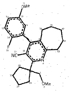 COCC1(c2nc3c(c(-c4cc(OC)ccc4F)c2C#N)CCCCC3)CCCC1